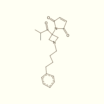 CC(C)C(=O)C1(N2C(=O)C=CC2=O)CN(CCCCc2ccccc2)C1